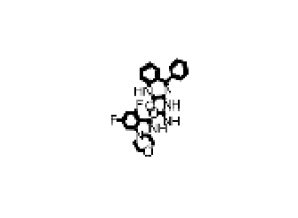 N=C(NC1N=C(c2ccccc2)c2ccccc2NC1=O)OC(=N)c1c(F)cc(F)cc1N1CCOCC1